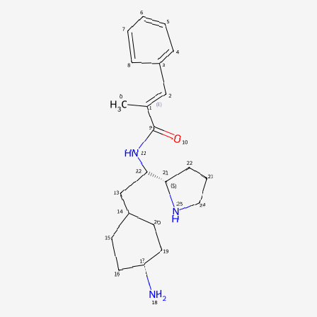 C/C(=C\c1ccccc1)C(=O)NC(CC1CCC(N)CC1)[C@@H]1CCCN1